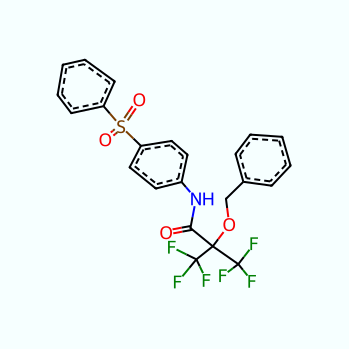 O=C(Nc1ccc(S(=O)(=O)c2ccccc2)cc1)C(OCc1ccccc1)(C(F)(F)F)C(F)(F)F